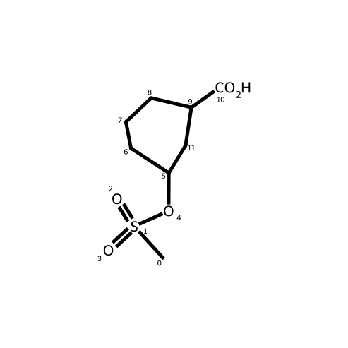 CS(=O)(=O)OC1CCCC(C(=O)O)C1